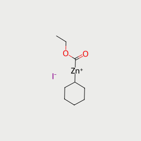 CCO[C](=O)[Zn+][CH]1CCCCC1.[I-]